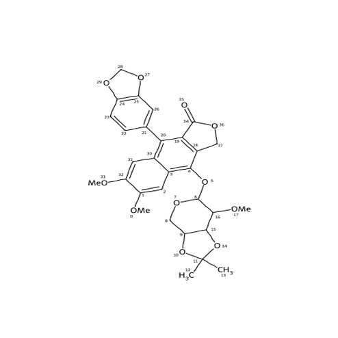 COc1cc2c(OC3OCC4OC(C)(C)OC4C3OC)c3c(c(-c4ccc5c(c4)OCO5)c2cc1OC)C(=O)OC3